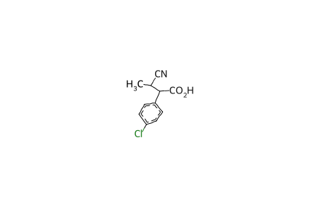 CC(C#N)C(C(=O)O)c1ccc(Cl)cc1